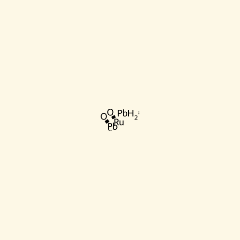 [O]=[Pb].[O]=[Ru].[PbH2]